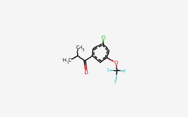 CC(C)C(=O)c1cc(Cl)cc(OC(F)(F)F)c1